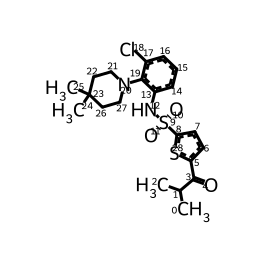 CC(C)C(=O)c1ccc(S(=O)(=O)Nc2cccc(Cl)c2N2CCC(C)(C)CC2)s1